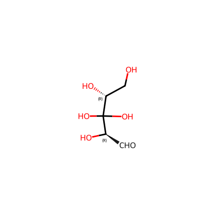 O=C[C@@H](O)C(O)(O)[C@H](O)CO